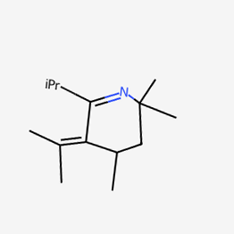 CC(C)=C1C(C(C)C)=NC(C)(C)CC1C